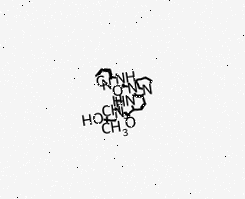 CC(C)(O)CNC(=O)C1C=CC2=C(N1)N(C(=O)Nc1ccccn1)C1CCN2C1